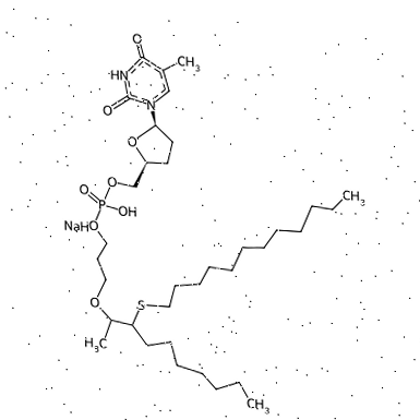 CCCCCCCCCCCCSC(CCCCCCC)C(C)OCCCOP(=O)(O)OC[C@@H]1CC[C@H](n2cc(C)c(=O)[nH]c2=O)O1.[NaH]